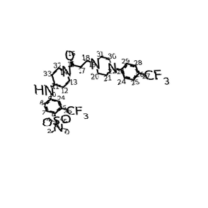 CN(C)S(=O)(=O)c1ccc(NC2CCN(C(=O)CCN3CCN(c4ccc(C(F)(F)F)cc4)CC3)CC2)cc1C(F)(F)F